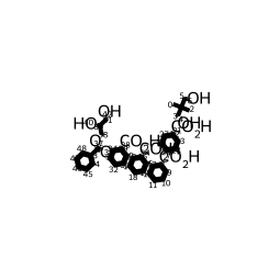 CC(C)(CO)CO.O=C(O)c1ccccc1.O=C(O)c1ccccc1.O=C(O)c1ccccc1.O=C(O)c1ccccc1.O=C(OCC(O)CO)c1ccccc1